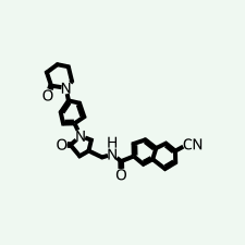 N#Cc1ccc2cc(C(=O)NCC3CC(=O)N(c4ccc(N5CCCCC5=O)cc4)C3)ccc2c1